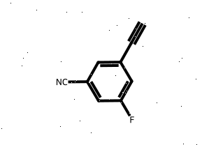 [C]#Cc1cc(F)cc(C#N)c1